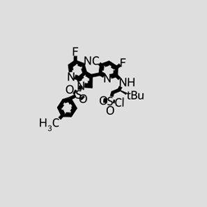 Cc1ccc(S(=O)(=O)n2cc(-c3nc(N[C@H](CS(=O)(=O)Cl)C(C)(C)C)c(F)cc3C#N)c3cc(F)cnc32)cc1